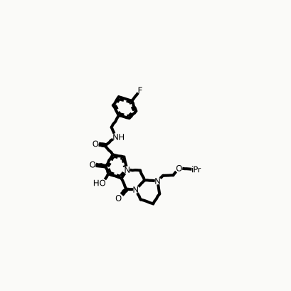 CC(C)OCCN1CCCN2C(=O)c3c(O)c(=O)c(C(=O)NCc4ccc(F)cc4)cn3CC12